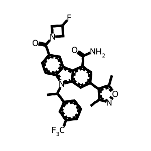 Cc1noc(C)c1-c1cc(C(N)=O)c2c3cc(C(=O)N4CC(F)C4)ccc3n(C(C)c3cccc(C(F)(F)F)c3)c2c1